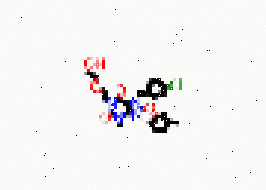 Cc1cccc(Oc2nc3c(c(=O)n(CCOCCO)c(=O)n3C)n2Cc2ccc(Cl)cc2)c1